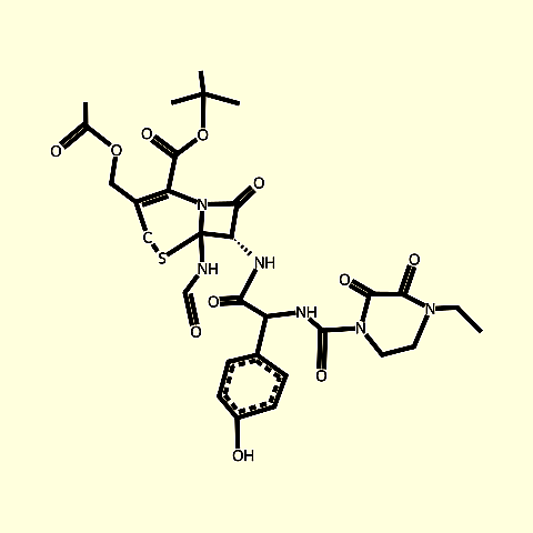 CCN1CCN(C(=O)NC(C(=O)N[C@H]2C(=O)N3C(C(=O)OC(C)(C)C)=C(COC(C)=O)CSC23NC=O)c2ccc(O)cc2)C(=O)C1=O